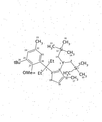 CCC(CC)(C1=[C]([Y]([CH2][Si](C)(C)C)[CH2][Si](C)(C)C)C(C)=CC1)c1cc(C)cc(C(C)(C)C)c1OC